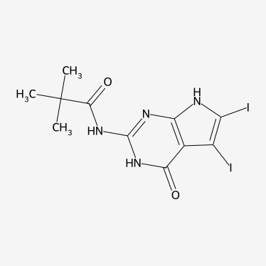 CC(C)(C)C(=O)Nc1nc2[nH]c(I)c(I)c2c(=O)[nH]1